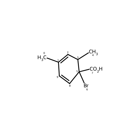 CC1=CC(C)C(Br)(C(=O)O)C=C1